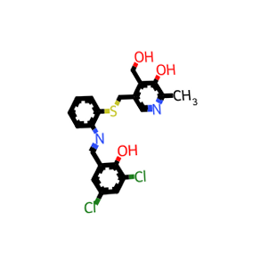 Cc1ncc(CSc2ccccc2N=Cc2cc(Cl)cc(Cl)c2O)c(CO)c1O